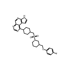 O=S(=O)(CC1CCC(c2ncnc3cnc4[nH]ccc4c23)CC1)N1CCCC(COc2ccc(F)cc2)C1